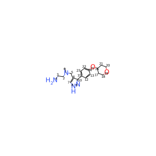 CN(CCN)Cc1c[nH]nc1-c1ccc(OC2CCOCC2)cc1